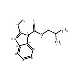 CC(C)COC(=O)n1c(CCl)nc2ccccc21